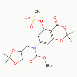 CC(C)(C)OC(=O)N(CC1COC(C)(C)O1)c1cc2c(c(OS(=O)(=O)C(F)(F)F)c1)C(=O)OC(C)(C)O2